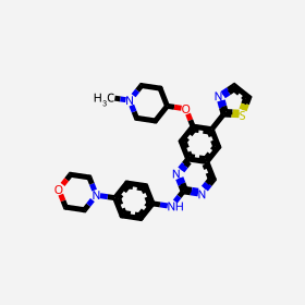 CN1CCC(Oc2cc3nc(Nc4ccc(N5CCOCC5)cc4)ncc3cc2-c2nccs2)CC1